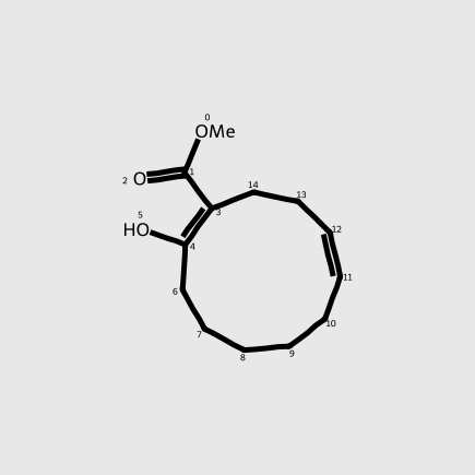 COC(=O)/C1=C(\O)CCCCC/C=C\CC1